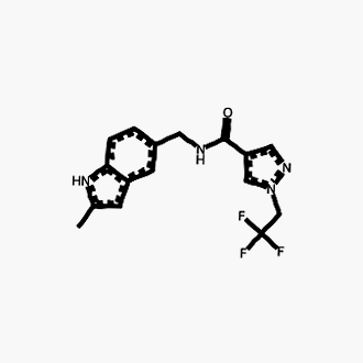 Cc1cc2cc(CNC(=O)c3cnn(CC(F)(F)F)c3)ccc2[nH]1